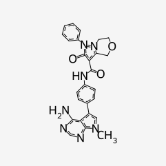 Cn1cc(-c2ccc(NC(=O)c3c4n(n(-c5ccccc5)c3=O)CCOC4)cc2)c2c(N)ncnc21